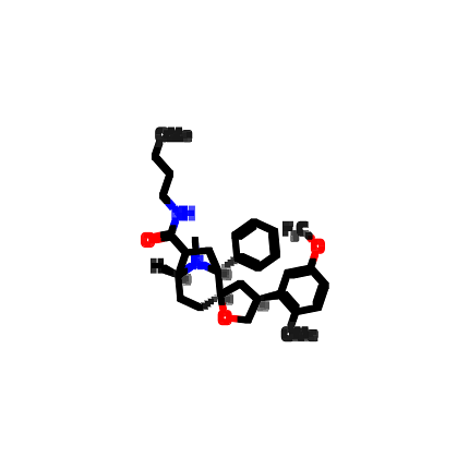 COCCCNC(=O)C1C[C@]2(c3ccccc3)N(C)[C@@H]1CC[C@@]21C[C@@H](c2cc(OC(F)(F)F)ccc2OC)CO1